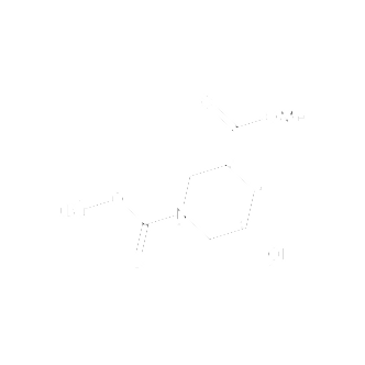 COC(=O)[C@@H]1C[C@H](O)CN(C(=O)OC(C)(C)C)C1